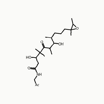 CC(=O)CNC(=O)CC(O)C(C)(C)C(=O)C(C)C(O)C(C)CCCC1(C)OC1C